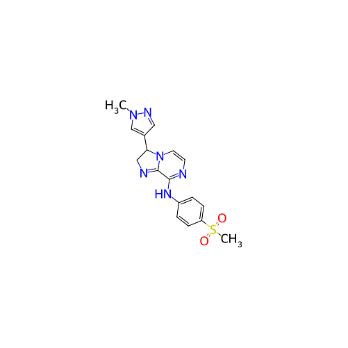 Cn1cc(C2CN=C3C(Nc4ccc(S(C)(=O)=O)cc4)=NC=CN32)cn1